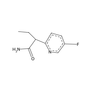 CCC(C(N)=O)c1ccc(F)cn1